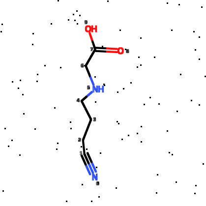 N#CCCCNCC(=O)O